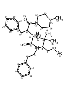 CC(=O)SCC(N(CCc1ccccc1)C(=O)N[C@@H](Cc1ccccc1)C(=O)N1CCN(C)CC1)C(C)(C)N